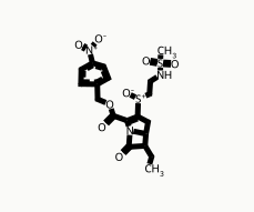 CCC1C(=O)N2C(C(=O)OCc3ccc([N+](=O)[O-])cc3)=C([S+]([O-])CCNS(C)(=O)=O)CC12